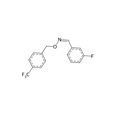 Fc1cccc(/[C]=N\OCc2ccc(C(F)(F)F)cc2)c1